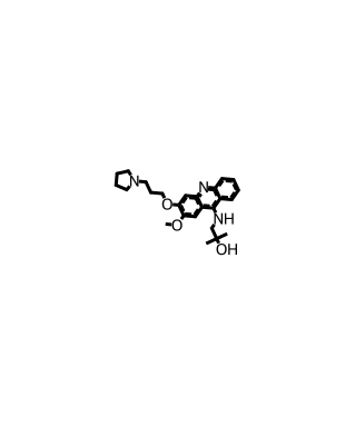 COc1cc2c(NCC(C)(C)O)c3ccccc3nc2cc1OCCCN1CCCC1